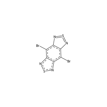 Brc1c2c(c(Br)c3nsnc13)N=S=N2